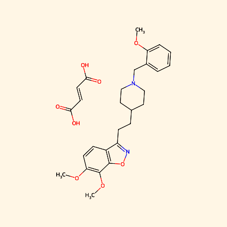 COc1ccccc1CN1CCC(CCc2noc3c(OC)c(OC)ccc23)CC1.O=C(O)C=CC(=O)O